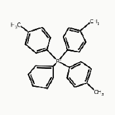 Cc1ccc([B-](c2ccccc2)(c2ccc(C)cc2)c2ccc(C)cc2)cc1